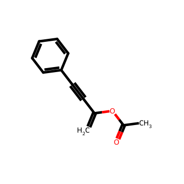 C=C(C#Cc1ccccc1)OC(C)=O